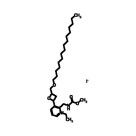 CCCCCCCCCCCCCCCCOCC1CC(c2ccc[n+](CC)c2CNC(=O)OC)O1.[I-]